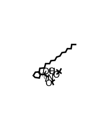 CCCCCCCCCCCCCCC1=C([C@@H](O)[C@@H]2COC(C)(C)N2C(=O)OC(C)(C)C)CCCC1